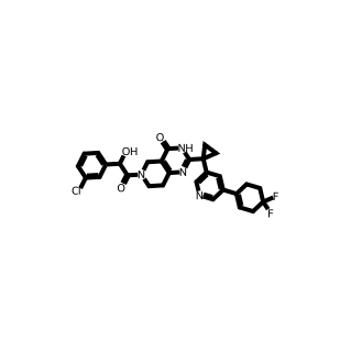 O=C(C(O)c1cccc(Cl)c1)N1CCc2nc(C3(c4cncc(C5=CCC(F)(F)CC5)c4)CC3)[nH]c(=O)c2C1